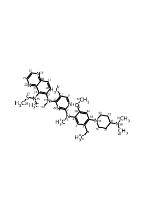 CCc1cc(N(C)c2ncc(C)c(N(I)c3ccc4nccnc4c3N(C)SC)n2)c(OC)cc1N1CCC(N(C)C)CC1